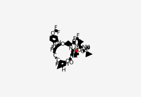 CC(C)(C)[C@@H]1NC(=O)O[C@@H]2C[C@@H]3C[C@@H]3[C@H]2CCCCC(F)(F)c2nc3ccc(OC(F)F)cc3nc2OC2C[C@@H](C(=O)N[C@]3(C(=O)NS(=O)(=O)C4CC4)C[C@H]3C(F)F)N(C2)C1=O